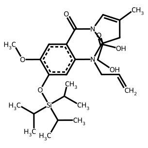 C=CCN(C(=O)O)c1cc(O[Si](C(C)C)(C(C)C)C(C)C)c(OC)cc1C(=O)N1C=C(C)CC1CO